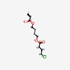 C=CC(=O)OCCCCOC(=O)CCCCl